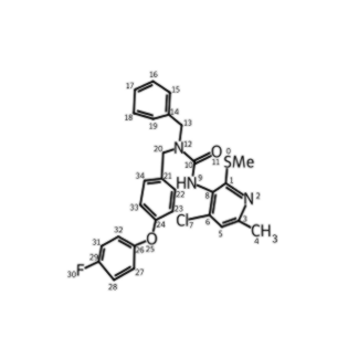 CSc1nc(C)cc(Cl)c1NC(=O)N(Cc1ccccc1)Cc1ccc(Oc2ccc(F)cc2)cc1